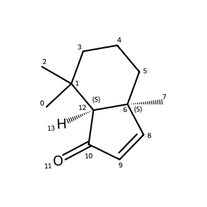 CC1(C)CCC[C@@]2(C)C=CC(=O)[C@@H]12